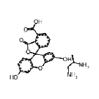 CC(N)CN.O=C(O)c1cccc2c1C(=O)OC21c2ccc(O)cc2Oc2cc(O)ccc21